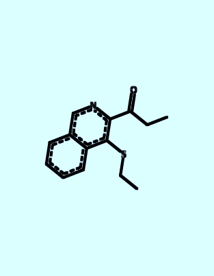 CCSc1c(C(=O)CC)ncc2ccccc12